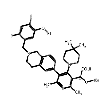 CCOc1cc(CN2CCc3cc(-c4c(C)nc(C)c([C@H](OC(C)(C)C)C(=O)O)c4N4CCC(C)(C)CC4)ccc3C2)c(F)cc1F